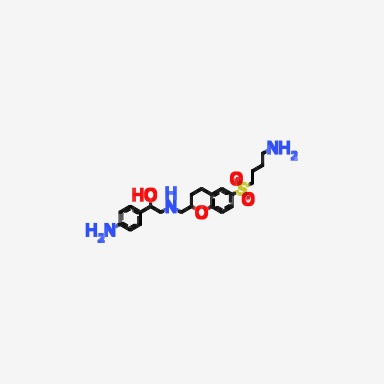 NCCCCS(=O)(=O)c1ccc2c(c1)CCC(CNCC(O)c1ccc(N)cc1)O2